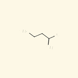 CC(=O)C(O)CCC=O